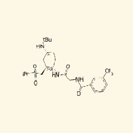 CC(C)S(=O)(=O)C[C@H]1C[C@H](NC(C)(C)C)CC[C@@H]1NC(=O)CNC(=O)c1cccc(C(F)(F)F)c1